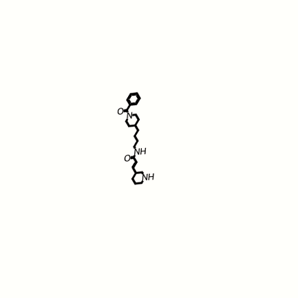 O=C(C=CC1CCCNC1)NCCCCC1CCN(C(=O)c2ccccc2)CC1